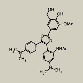 COc1cc(-c2nc(-c3ccc(N(C)C)cc3NC(C)=O)c(-c3ccc(N(C)C)cc3)o2)cc(CO)c1O